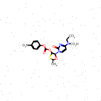 C[C@@H]1O[C@H](n2ccc(N(CC(Cl)(Cl)Cl)C(=O)O)nc2=O)C(OC(=O)Oc2ccc([N+](=O)[O-])cc2)S1